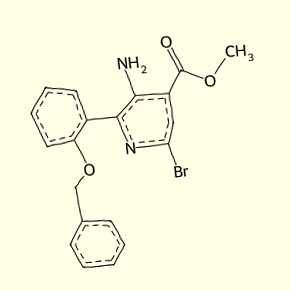 COC(=O)c1cc(Br)nc(-c2ccccc2OCc2ccccc2)c1N